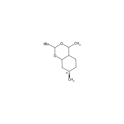 CC1OC(C(C)(C)C)OC2C[C@H](C)CCC12